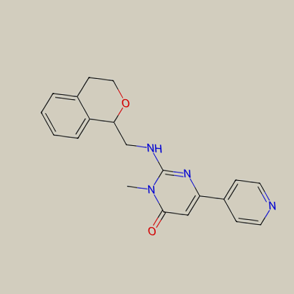 Cn1c(NCC2OCCc3ccccc32)nc(-c2ccncc2)cc1=O